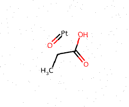 CCC(=O)O.[O]=[Pt]